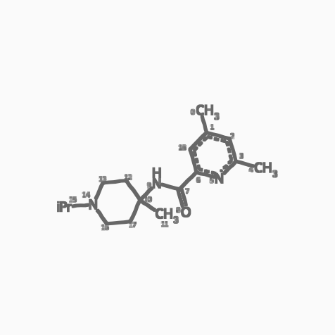 Cc1cc(C)nc(C(=O)NC2(C)CCN(C(C)C)CC2)c1